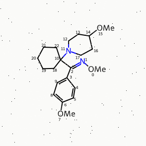 CON=C(c1ccc(OC)cc1)C1(N2CCC(OC)CC2)CCCCC1